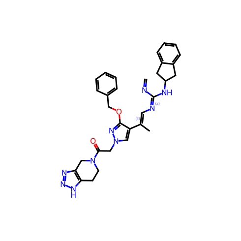 C=N/C(=N\C=C(/C)c1cn(CC(=O)N2CCc3[nH]nnc3C2)nc1OCc1ccccc1)NC1Cc2ccccc2C1